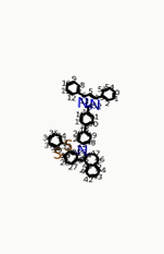 c1ccc(-c2cc(-c3ccccc3)nc(-c3ccc(-c4ccc(-n5c6c(c7ccc8c(c75)Sc5ccccc5S8)-c5ccccc5CC6)cc4)cc3)n2)cc1